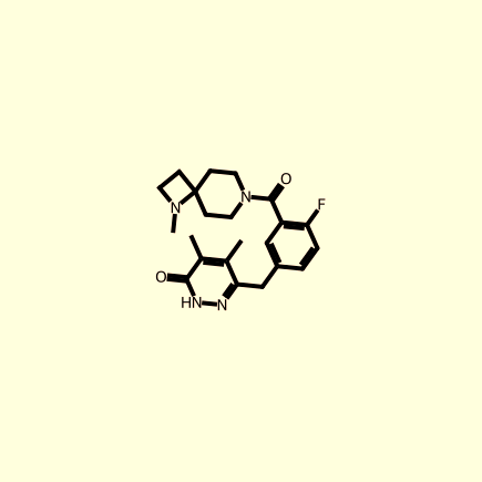 Cc1c(Cc2ccc(F)c(C(=O)N3CCC4(CC3)CCN4C)c2)n[nH]c(=O)c1C